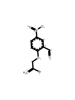 C=C(Br)COc1ccc([N+](=O)[O-])cc1C=O